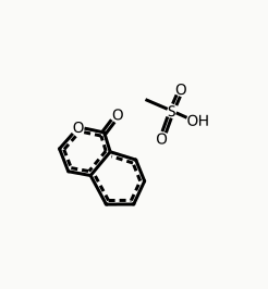 CS(=O)(=O)O.O=c1occc2ccccc12